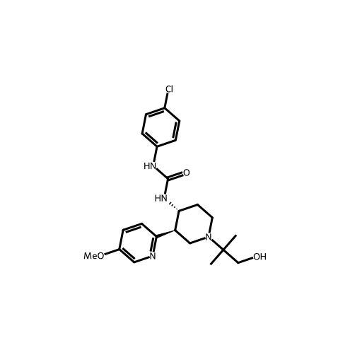 COc1ccc([C@@H]2CN(C(C)(C)CO)CC[C@H]2NC(=O)Nc2ccc(Cl)cc2)nc1